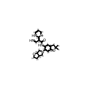 CC1(C)Cc2cc(NC(=O)/C(C=N)=C3\N=CC=CN3)c(N3CC4CCOC4C3)cc2O1